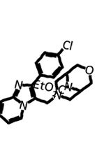 CCOC(=O)N1C2COCC1CN(Cc1c(-c3ccc(Cl)cc3)nc3ccccn13)C2